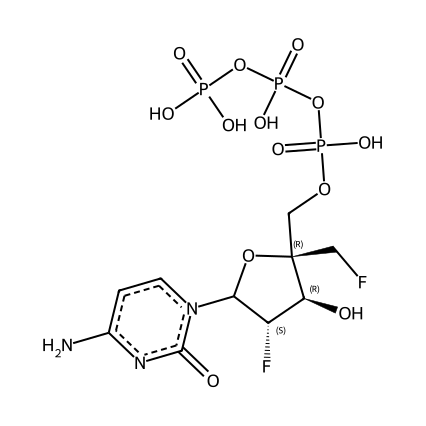 Nc1ccn(C2O[C@](CF)(COP(=O)(O)OP(=O)(O)OP(=O)(O)O)[C@@H](O)[C@@H]2F)c(=O)n1